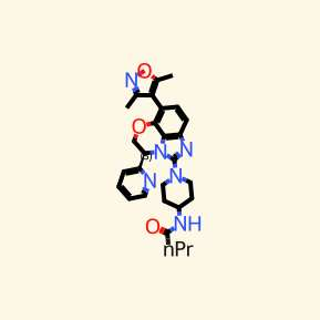 CCCC(=O)NC1CCN(c2nc3ccc(-c4c(C)noc4C)c4c3n2[C@@H](c2ccccn2)CO4)CC1